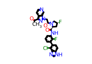 CC(=O)c1nn(CC(=O)N2C[C@H](F)C[C@H]2C(=O)Nc2cccc(-c3ccc4[nH]cnc4c3Cl)c2F)c2cnccc12